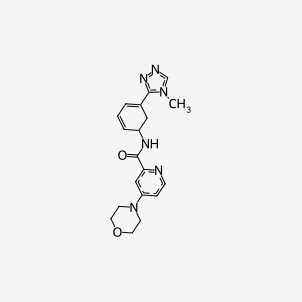 Cn1cnnc1C1=CC=CC(NC(=O)c2cc(N3CCOCC3)ccn2)C1